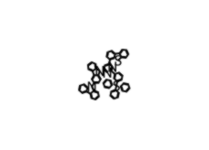 c1ccc(S(c2ccccc2)(c2ccccc2)c2cccc(-c3nc(-c4cccc5c4sc4ccccc45)cc(-n4c5ccccc5c5cc(-n6c7ccccc7c7ccccc76)ccc54)n3)c2)cc1